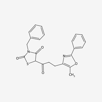 Cc1oc(-c2ccccc2)nc1CCC(=O)C1SC(=O)N(Cc2ccccc2)C1=O